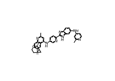 Cc1cc(Nc2ccc3nc(-c4ccc(Nc5cc(C)nc6ccc([C@@]78CCO[C@@H](C)C7C8)cc56)cn4)[nH]c3c2)ccn1